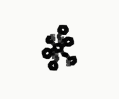 C(#Cc1c2c3ccccc3n(Cc3ccccc3)c2c(-c2cccs2)c2c3ccccc3n(Cc3ccccc3)c12)c1cccs1